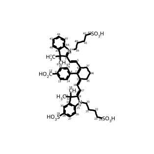 CC1(C)C(/C=C/C2=C(c3ccc(C(=O)O)cc3)C(=C/C=C3/N(CCCCS(=O)(=O)O)c4ccc(S(=O)(=O)O)cc4C3(C)C)/CCC2)=[N+](CCCCS(=O)(=O)O)c2ccccc21